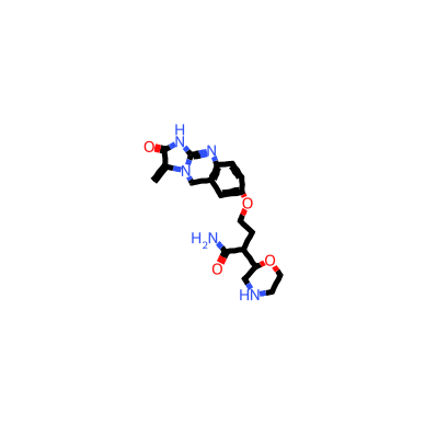 C=c1c(=O)[nH]c2n1Cc1cc(OCCC(C(N)=O)C3CNCCO3)ccc1N=2